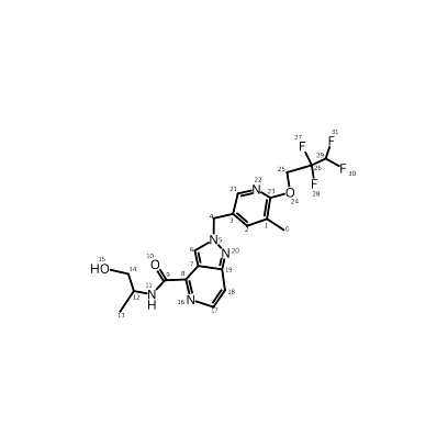 Cc1cc(Cn2cc3c(C(=O)NC(C)CO)nccc3n2)cnc1OCC(F)(F)C(F)F